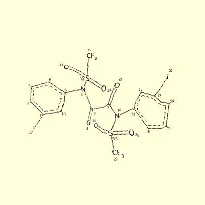 O=C(C(=O)N(c1cccc(I)c1)S(=O)(=O)C(F)(F)F)N(c1cccc(I)c1)S(=O)(=O)C(F)(F)F